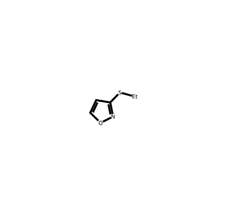 CCSc1ccon1